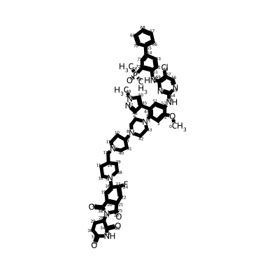 COc1cc(N2CCN(C3CCN(CC4CCN(c5cc6c(cc5F)C(=O)N(C5CCC(=O)NC5=O)C6=O)CC4)CC3)CC2)c(-c2cnn(C)c2)cc1Nc1ncc(Cl)c(Nc2ccc(-c3ccccc3)cc2P(C)(C)=O)n1